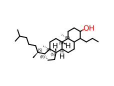 CCCC1C(O)CC[C@@]2(C)C1CC[C@H]1[C@@H]3CC[C@H]([C@@H](C)CCCC(C)C)[C@@]3(C)CC[C@@H]12